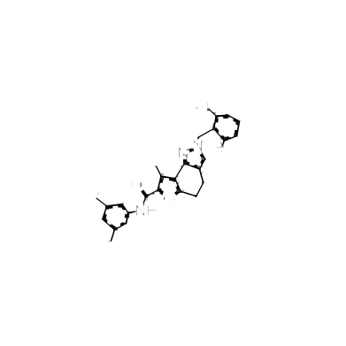 Cc1cc(C)cc(NC(=O)c2oc3c(c2C)-c2nn(Cc4c(F)cccc4Cl)cc2CC3)c1